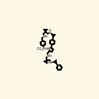 O=C(O)c1ccc(CNCC2(CNC3CC3c3ccc(-c4ccc(CNCC5(CN[C@H]6CC6c6ccccc6)CC5)[nH]4)cc3)CC2)cc1